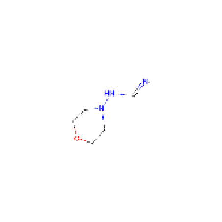 [N]=CNN1CCOCC1